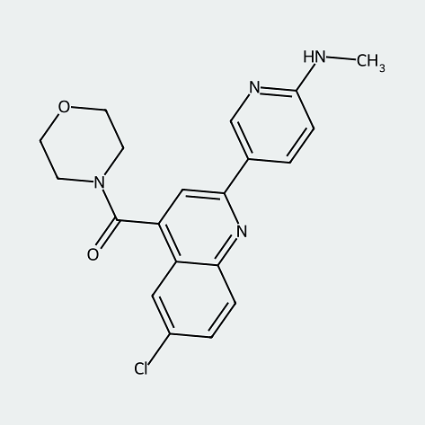 CNc1ccc(-c2cc(C(=O)N3CCOCC3)c3cc(Cl)ccc3n2)cn1